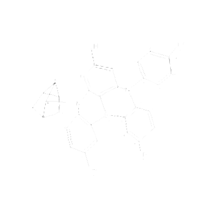 Cc1cc2c3c(c1)N(C1C4CC5C(C4)C51)c1ccc(C(C)(C)C)cc1B3c1cc(C(C)(C)C)ccc1N2c1ccc(C(C)(C)C)cc1